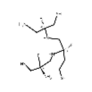 NC[C@@](F)(CS)NC[C@@](F)(CCS)NC[C@@](N)(F)CS